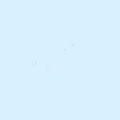 CC[Si](CC)(CC)C(C)(O)C(=N)[Si](C)(C)C